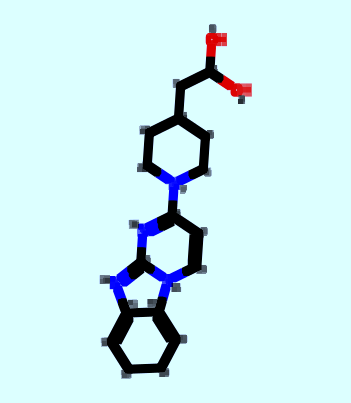 OC(O)CC1CCN(c2ccn3c4c(nc3n2)=CCCC=4)CC1